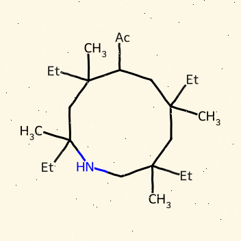 CCC1(C)CNC(C)(CC)CC(C)(CC)C(C(C)=O)CC(C)(CC)C1